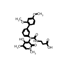 COc1ccc(-c2cccc(N(C(=O)NCCC(=O)O)c3c(O)c(C)cn(C)c3=O)c2)c(OC)c1